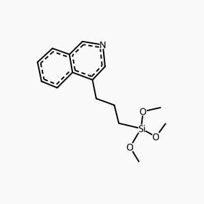 CO[Si](CCCc1cncc2ccccc12)(OC)OC